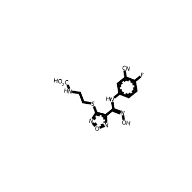 N#Cc1cc(N/C(=N/O)c2nonc2SCCNC(=O)O)ccc1F